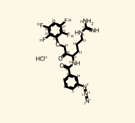 Cl.[N-]=[N+]=Nc1cccc(C(=O)NC(CCCNC(=N)N)C(=O)COc2c(F)c(F)cc(F)c2F)c1